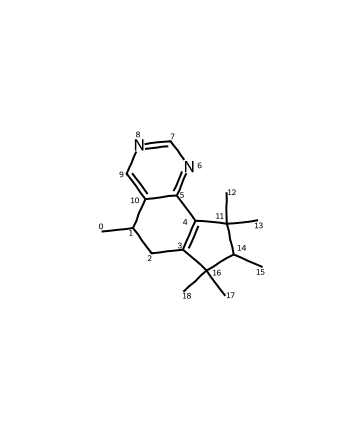 CC1CC2=C(c3ncncc31)C(C)(C)C(C)C2(C)C